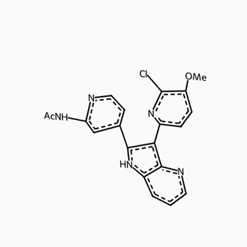 COc1ccc(-c2c(-c3ccnc(NC(C)=O)c3)[nH]c3cccnc23)nc1Cl